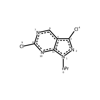 CCCn1nc(Cl)c2cnc(Cl)nc21